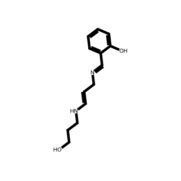 OCCCNC=CCN=Cc1ccccc1O